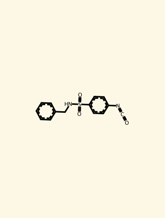 O=C=Nc1ccc(S(=O)(=O)NCc2ccccc2)cc1